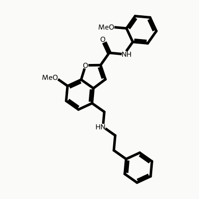 COc1ccccc1NC(=O)c1cc2c(CNCCc3ccccc3)ccc(OC)c2o1